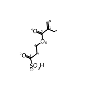 C=C(C)C(=O)OCCC(=O)S(=O)(=O)O